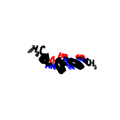 Cc1ccc(CC(=O)Nc2ccc(-c3nc4ccc([N+](C)=O)cc4n3O)cc2)cc1